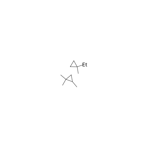 CC1CC1(C)C.CCC1(C)CC1